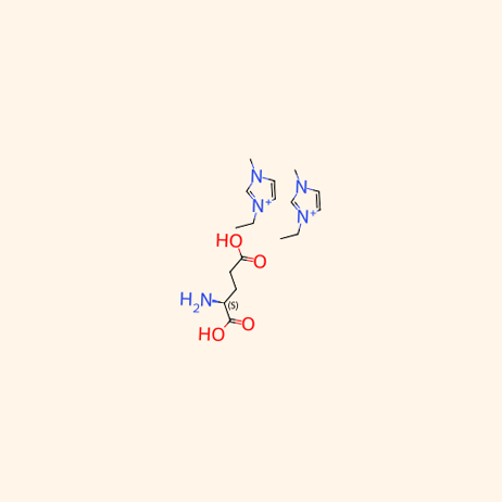 CC[n+]1ccn(C)c1.CC[n+]1ccn(C)c1.N[C@@H](CCC(=O)O)C(=O)O